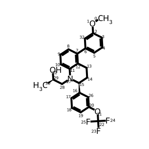 COc1cccc(-c2cccc3c2CC[C@@H](c2cccc(OC(F)(F)F)c2)N3C[C@@H](C)O)c1